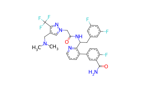 CN(C)Cc1cn(CC(=O)NC(Cc2cc(F)cc(F)c2)c2ncccc2-c2ccc(F)c(C(N)=O)c2)nc1C(F)(F)F